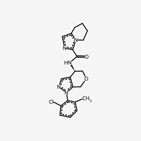 Cc1cccc(Cl)c1-n1ncc2c1COC[C@@H]2NC(=O)c1ncc2n1CCCC2